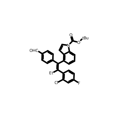 CCC(=C(c1ccc(C=O)cc1)c1cccc2c1ccn2C(=O)OC(C)(C)C)c1ccc(F)cc1Cl